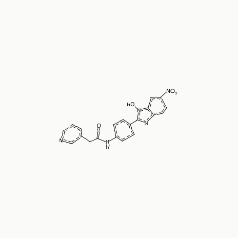 O=C(Cc1cccnc1)Nc1ccc(-c2nc3ccc([N+](=O)[O-])cc3n2O)cc1